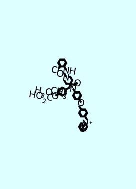 CC(C)(Oc1ccc(C2N(c3ccc(OCc4ccc(C[N+]56CCC(CC5)CC6)cc4)cc3)C(=O)C23CCN(C(=O)Nc2ccccc2Cl)CC3)cc1)C(=O)O